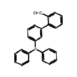 O=Cc1ccccc1-c1cccc(P(c2ccccc2)c2ccccc2)c1